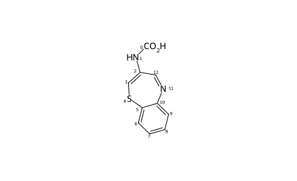 O=C(O)NC1=CSc2ccccc2N=C1